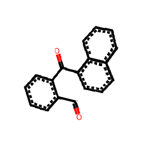 O=[C]c1ccccc1C(=O)c1cccc2ccccc12